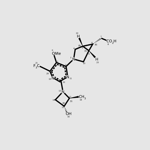 COc1c(N2C[C@@H]3[C@H](CC(=O)O)[C@@H]3C2)nc(N2C[C@@H](O)[C@@H]2C)nc1C(F)(F)F